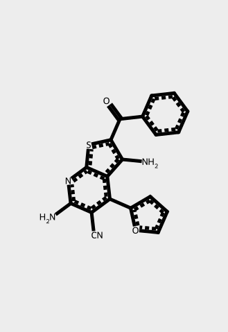 N#Cc1c(N)nc2sc(C(=O)c3ccccc3)c(N)c2c1-c1ccco1